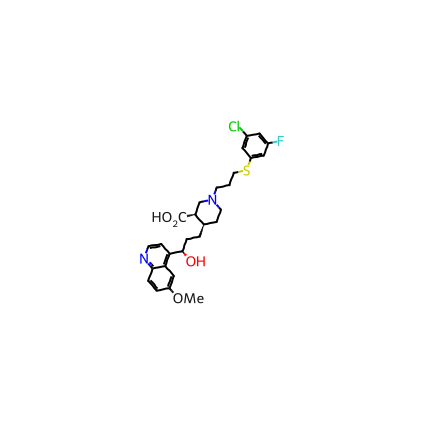 COc1ccc2nccc([C@H](O)CC[C@@H]3CCN(CCCSc4cc(F)cc(Cl)c4)C[C@@H]3C(=O)O)c2c1